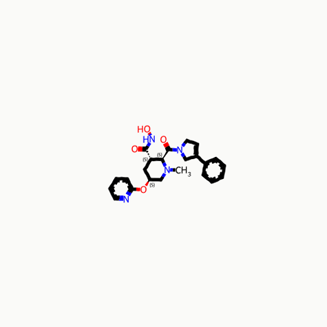 CN1C[C@@H](Oc2ccccn2)C[C@H](C(=O)NO)[C@H]1C(=O)N1CC=C(c2ccccc2)C1